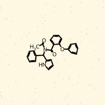 CC(=O)N(C(=O)c1ccccc1Oc1ccccc1)C(c1ccccc1)c1ccc[nH]1